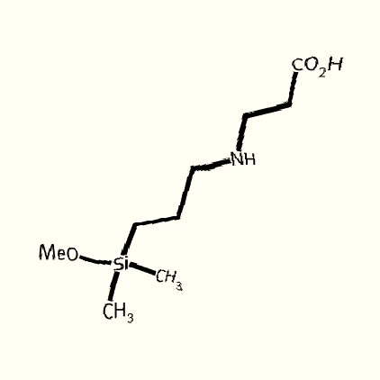 CO[Si](C)(C)CCCNCCC(=O)O